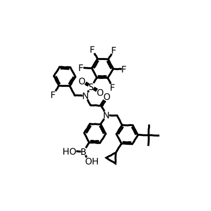 CC(C)(C)c1cc(CN(C(=O)CN(Cc2ccccc2F)S(=O)(=O)c2c(F)c(F)c(F)c(F)c2F)c2ccc(B(O)O)cc2)cc(C2CC2)c1